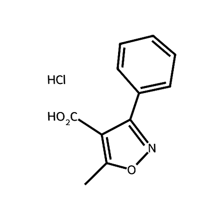 Cc1onc(-c2ccccc2)c1C(=O)O.Cl